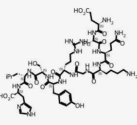 CC(C)C[C@H](NC(=O)[C@H](CO)NC(=O)[C@H](Cc1ccc(O)cc1)NC(=O)[C@H](CCCNC(=N)N)NC(=O)CNC(=O)[C@H](CCCCN)NC(=O)[C@H](CCC(N)=O)NC(=O)[C@@H](NC(=O)[C@@H](N)CCC(=O)O)C(C)C)C(=O)N[C@@H](Cc1c[nH]cn1)C(=O)O